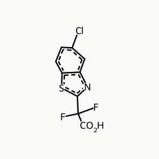 O=C(O)C(F)(F)c1nc2cc(Cl)ccc2s1